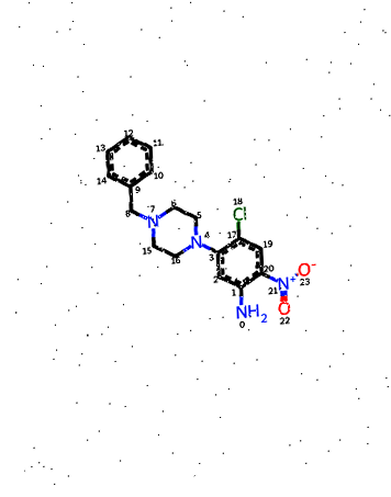 Nc1cc(N2CCN(Cc3ccccc3)CC2)c(Cl)cc1[N+](=O)[O-]